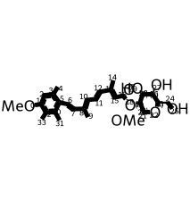 COc1cc(C)c(C=CC(C)=CC=CC(C)=CC(=O)O[C@H]2[C@@H](OC)O[C@H](CO)[C@@H](O)[C@@H]2O)c(C)c1C